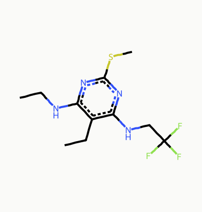 CCNc1nc(SC)nc(NCC(F)(F)F)c1CC